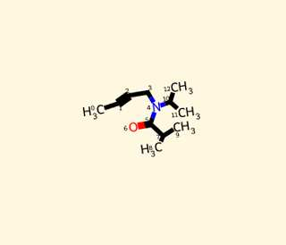 CC#CCN(C(=O)C(C)C)C(C)C